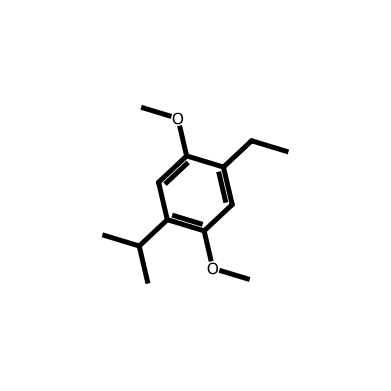 CCc1cc(OC)c(C(C)C)cc1OC